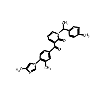 Cc1ccc(C(C)n2cccc(C(=O)c3ccc(-n4cnc(C)c4)c(C)c3)c2=O)cc1